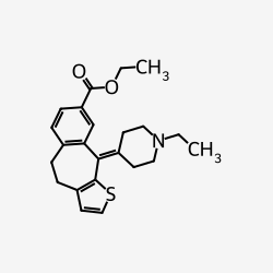 CCOC(=O)c1ccc2c(c1)C(=C1CCN(CC)CC1)c1sccc1CC2